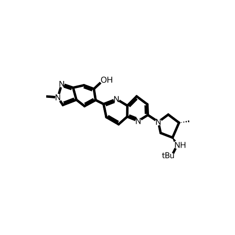 C[C@H]1CN(c2ccc3nc(-c4cc5cn(C)nc5cc4O)ccc3n2)C[C@@H]1NC(C)(C)C